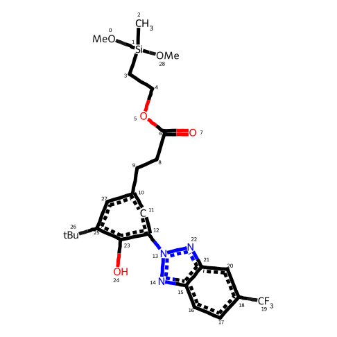 CO[Si](C)(CCOC(=O)CCc1cc(-n2nc3ccc(C(F)(F)F)cc3n2)c(O)c(C(C)(C)C)c1)OC